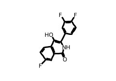 O=c1[nH]c(-c2ccc(F)c(F)c2)c(O)c2ccc(F)cc12